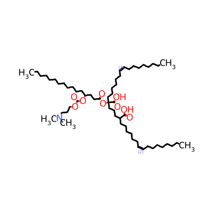 CCCCCCCC/C=C\CCCCCCC(CCCC(CCCCCC/C=C\CCCCCCCC)(OC(=O)CCC(CCCCCCCCCCCC)OC(=O)OCCCN(C)C)C(=O)O)C(=O)O